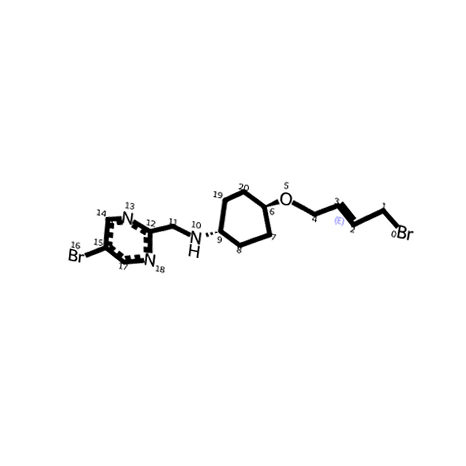 BrC/C=C/CO[C@H]1CC[C@H](NCc2ncc(Br)cn2)CC1